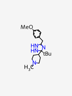 COc1ccc(CC2=NC(C3CCN(C)CC3)(C(C)(C)C)NN2)cc1